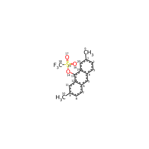 Cc1ccc2cc3ccc(C)cc3c(OS(=O)(=O)C(F)(F)F)c2c1